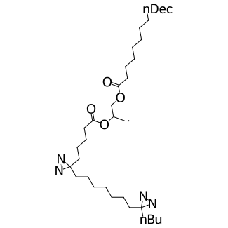 [CH2]C(COC(=O)CCCCCCCCCCCCCCCCC)OC(=O)CCCCC1(CCCCCCCC2(CCCC)N=N2)N=N1